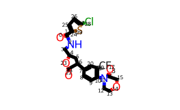 O=C(NCC1CC(c2ccc(N3CCOCC3=O)c(C(F)(F)F)c2)C(=O)O1)c1ccc(Cl)s1